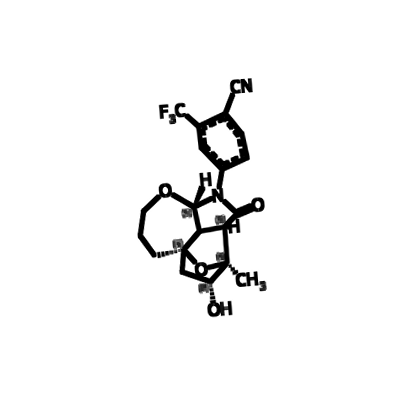 C[C@]12O[C@@]3(CCCO[C@H]4C3[C@@H]1C(=O)N4c1ccc(C#N)c(C(F)(F)F)c1)C[C@H]2O